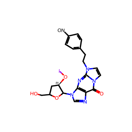 O=Nc1ccc(CCn2ccn3c(=O)c4ncn(C5OC(CO)C[C@H]5OI)c4nc23)cc1